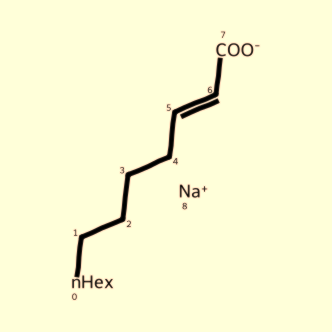 CCCCCCCCCCC=CC(=O)[O-].[Na+]